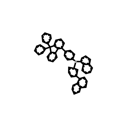 c1ccc(C2(c3ccccc3)c3ccccc3-c3c(-c4ccc(N(c5cccc(-c6cccc7ccccc67)c5)c5cccc6ccccc56)cc4)cccc32)cc1